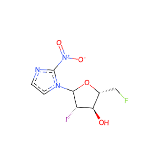 O=[N+]([O-])c1nccn1C1O[C@H](CF)[C@@H](O)[C@@H]1I